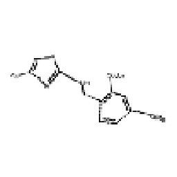 COc1ccc(CNc2nc(C(C)=O)cs2)c(OC)c1